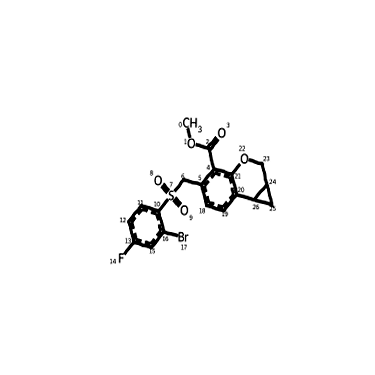 COC(=O)c1c(CS(=O)(=O)c2ccc(F)cc2Br)ccc2c1OCC1CC21